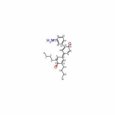 CCCCC1=CC(=C2C=CC(=O)C(c3cccc(N)c3)=C2)C=C(CCCC)C1=O